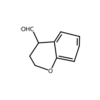 O=[C]C1CCOc2ccccc21